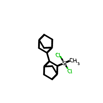 C[Si](Cl)(Cl)C1C2CCC(C2)C1C1CC2CCC1C2